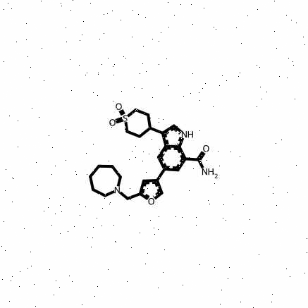 NC(=O)c1cc(-c2coc(CN3CCCCCC3)c2)cc2c(C3CCS(=O)(=O)CC3)c[nH]c12